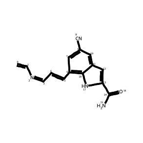 C=C/N=C\C=C\c1cc(C#N)cc2cc(C(N)=O)[nH]c12